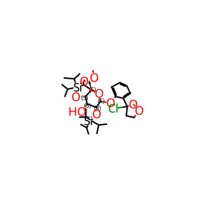 COC(=O)[C@H]1O[C@@H](Oc2ccccc2C2(Cl)CCOO2)[C@H](O[Si](C(C)C)(C(C)C)C(C)C)[C@@H](O)[C@@H]1O[Si](C(C)C)(C(C)C)C(C)C